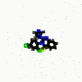 S=c1c2ccccc2nc(-n2ccnc2)n1-c1ccc(Cl)cc1Cl